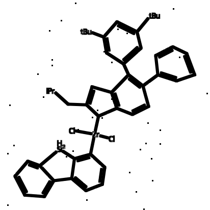 CC(C)CC1=Cc2c(ccc(-c3ccccc3)c2-c2cc(C(C)(C)C)cc(C(C)(C)C)c2)[CH]1[Zr]([Cl])([Cl])[c]1cccc2c1[SiH2]c1ccccc1-2